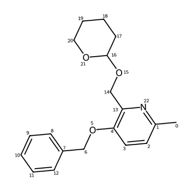 Cc1ccc(OCc2ccccc2)c(COC2CCCCO2)n1